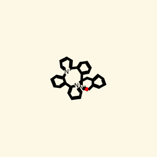 c1ccc2c(c1)CC1(c3ccccc3-c3cccc[n+]3-c3ccccc3-c3cccc[n+]31)[n+]1ccccc1-2